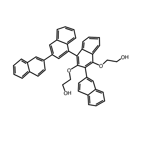 OCCOc1c(-c2ccc3ccccc3c2)c(OCCO)c2ccccc2c1-c1cc(-c2ccc3ccccc3c2)cc2ccccc12